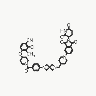 Cc1c(OC2CCN(C(=O)c3ccc(N4CC5(CN(CC6CCN(c7ccc8c(c7)C(=O)N(C7CCC(=O)NC7=O)C8=O)CC6)C5)C4)cc3)CC2)ccc(C#N)c1Cl